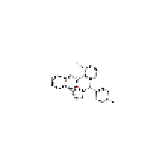 Fc1ccc(C(c2cccc(Cl)c2-c2ccc3ccccc3n2)n2ccnc2)cc1